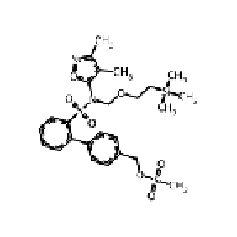 Cc1noc(N(COCC[Si](C)(C)C)S(=O)(=O)c2ccccc2-c2ccc(COS(C)(=O)=O)cc2)c1C